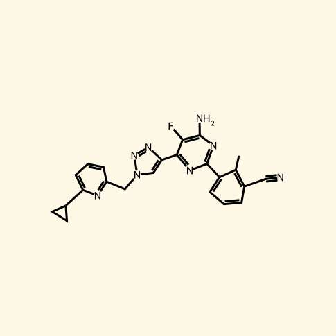 Cc1c(C#N)cccc1-c1nc(N)c(F)c(-c2cn(Cc3cccc(C4CC4)n3)nn2)n1